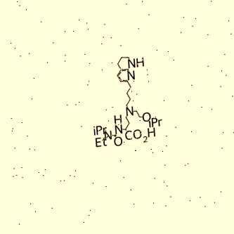 CCN(C(=O)NC(CCN(CCCCc1ccc2c(n1)NCCC2)CCOC(C)C)C(=O)O)C(C)C